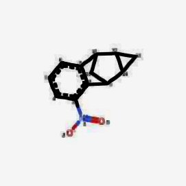 O=[N+]([O-])c1cccc2c1C1CC2C2CC12